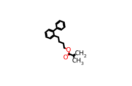 C=C(C)C(=O)OCCCCc1ccccc1-c1ccccc1